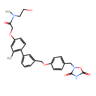 Cc1cc(OCC(=O)N(C)CCO)ccc1-c1cccc(COc2ccc(Cn3oc(=O)[nH]c3=O)cc2)c1